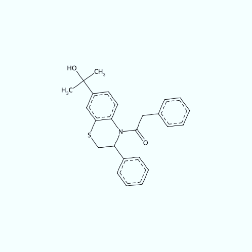 CC(C)(O)c1ccc2c(c1)SCC(c1ccccc1)N2C(=O)Cc1ccccc1